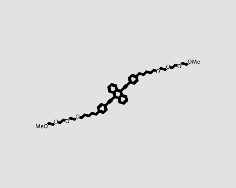 COCCOCCOCCOCCCCCc1ccc(C#Cc2c3ccccc3c(C#Cc3ccc(CCCCCOCCOCCOCCOC)cc3)c3ccccc23)cc1